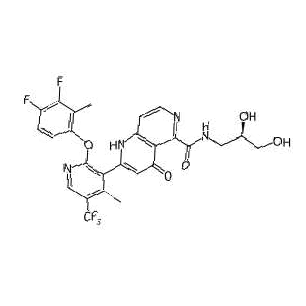 Cc1c(Oc2ncc(C(F)(F)F)c(C)c2-c2cc(=O)c3c(C(=O)NC[C@@H](O)CO)nccc3[nH]2)ccc(F)c1F